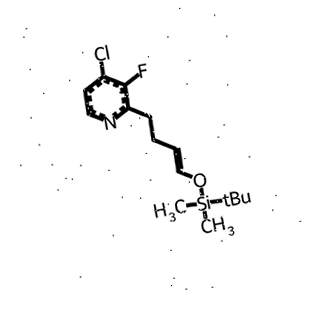 CC(C)(C)[Si](C)(C)OC=CCCc1nccc(Cl)c1F